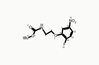 CC(C)(C)OC(=O)NCCOc1cc([N+](=O)[O-])ccc1F